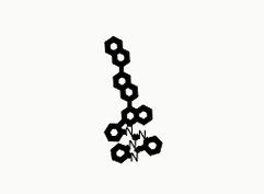 c1ccc2cc(-c3ccc4cc(-c5cc6c7ccccc7n(-c7nc8ccccc8c8nc9ccccc9n78)c6c6ccccc56)ccc4c3)ccc2c1